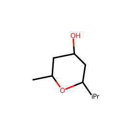 CC1CC(O)CC(C(C)C)O1